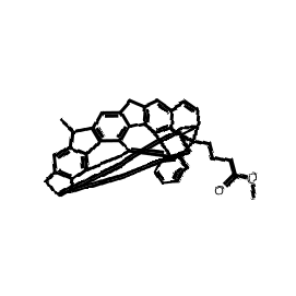 COC(=O)CCCC1(c2ccccc2)C23C=Cc4cc5c6c7c(cc8c9c7c7c%10c-9c(cc9c%10c(c%10c7c6c4C%1021)C(=C3)C9)C8C)C5